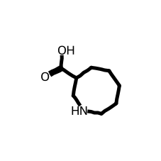 O=C(O)C1CCCCCNC1